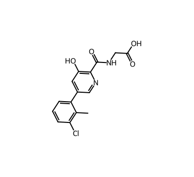 Cc1c(Cl)cccc1-c1cnc(C(=O)NCC(=O)O)c(O)c1